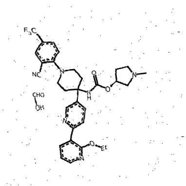 CCOc1ncccc1-c1ccc(C2(NC(=O)O[C@H]3CCN(C)C3)CCN(c3ccc(C(F)(F)F)cc3C#N)CC2)cn1.O=CO